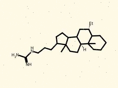 CC[C@H]1CC2C3CCC(CCCNC(=N)N)C3(C)CC[C@@H]2C2(C)CCCCC12